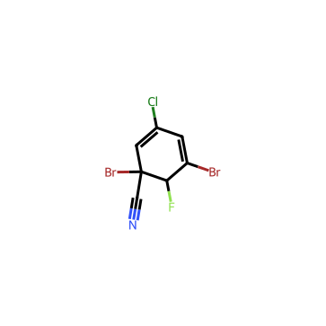 N#CC1(Br)C=C(Cl)C=C(Br)C1F